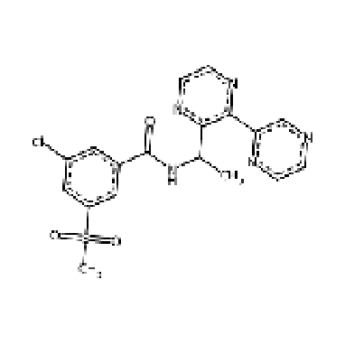 CC(NC(=O)c1cc(Cl)cc(S(C)(=O)=O)c1)c1nccnc1-c1cnccn1